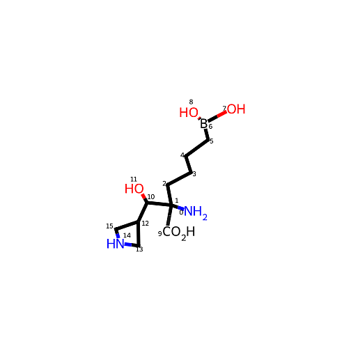 NC(CCCCB(O)O)(C(=O)O)C(O)C1CNC1